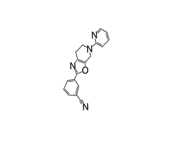 N#Cc1cccc(-c2nc3c(o2)CN(c2ccccn2)CC3)c1